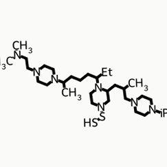 CCC(CCCC(C)N1CCN(CCN(C)C)CC1)N1CCN(SS)CC1CC(C)CN1CCN(C(C)C)CC1